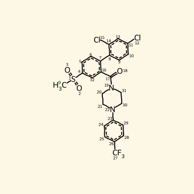 CS(=O)(=O)c1ccc(-c2ccc(Cl)cc2Cl)c(C(=O)N2CCN(c3ccc(C(F)(F)F)cc3)CC2)c1